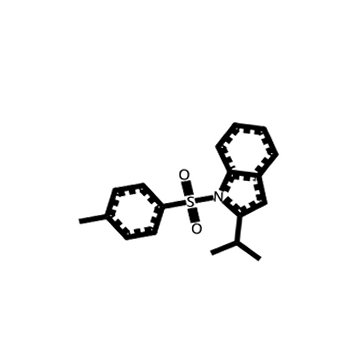 Cc1ccc(S(=O)(=O)n2c(C(C)C)cc3ccccc32)cc1